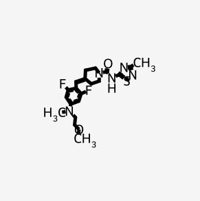 COCCN(C)c1cc(F)c(C=C2CCN(C(=O)Nc3nc(C)ns3)CC2)c(F)c1